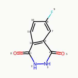 O=c1[nH][nH]c(=O)c2cc(F)ccc12